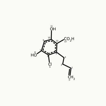 C=CCCc1c(Cl)c(O)cc(O)c1C(=O)O